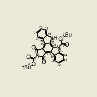 CC(C)(C)OC(=O)N1C(=O)c2c(c3c4ccccc4n(C(=O)OC(C)(C)C)c3c3[nH]c4ccccc4c23)C1=O